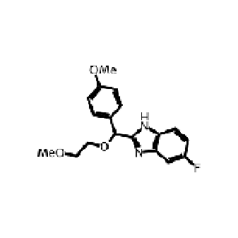 COCCOC(c1ccc(OC)cc1)c1nc2cc(F)ccc2[nH]1